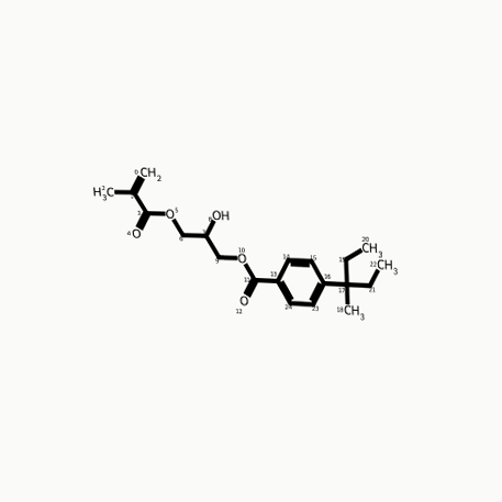 C=C(C)C(=O)OCC(O)COC(=O)c1ccc(C(C)(CC)CC)cc1